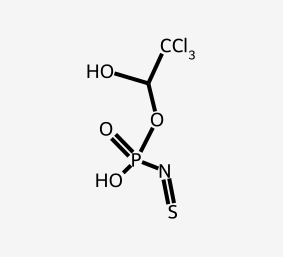 O=P(O)(N=S)OC(O)C(Cl)(Cl)Cl